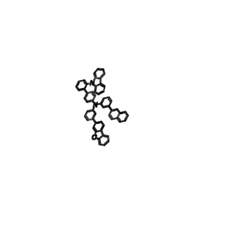 c1cc(-c2ccc3ccccc3c2)cc(N(c2ccc(-c3ccccc3-n3c4ccccc4c4ccccc43)cc2)c2cccc(-c3ccc4c(c3)oc3ccccc34)c2)c1